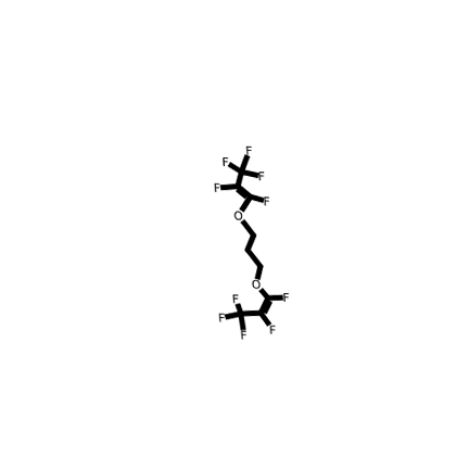 F/C(OCCCO/C(F)=C(\F)C(F)(F)F)=C(\F)C(F)(F)F